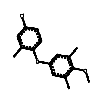 COc1c(C)cc(Oc2ccc(Cl)cc2C)cc1C